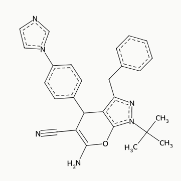 CC(C)(C)n1nc(Cc2ccccc2)c2c1OC(N)=C(C#N)C2c1ccc(-n2ccnc2)cc1